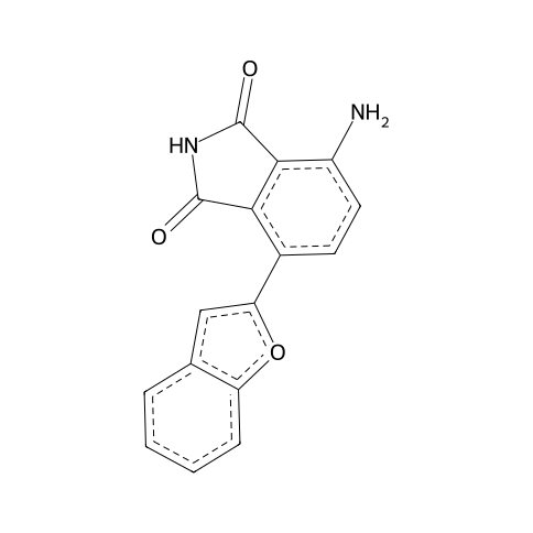 Nc1ccc(-c2cc3ccccc3o2)c2c1C(=O)NC2=O